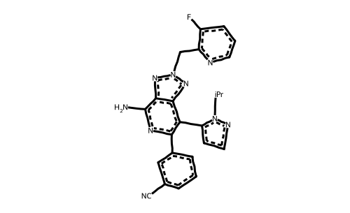 CC(C)n1nccc1-c1c(-c2cccc(C#N)c2)nc(N)c2nn(Cc3ncccc3F)nc12